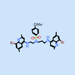 COc1ccc(S(=O)(=O)N(CCCNc2cc(C)nc3c(Br)cc(C)cc23)CCNc2cc(C)nc3c(Br)cc(C)cc23)cc1